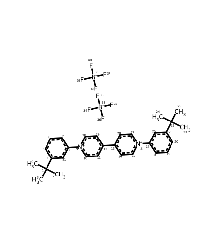 CC(C)(C)c1cccc(-[n+]2ccc(-c3cc[n+](-c4cccc(C(C)(C)C)c4)cc3)cc2)c1.F[B-](F)(F)F.F[B-](F)(F)F